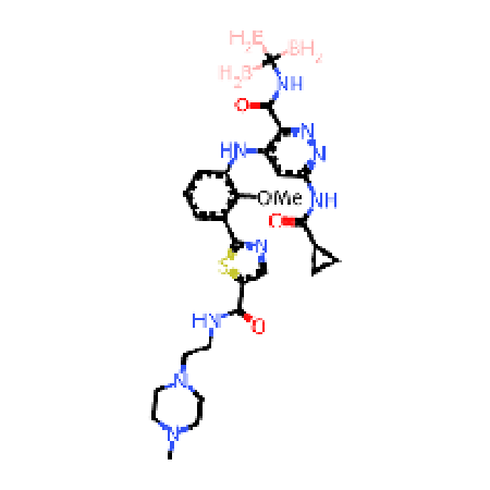 BC(B)(B)NC(=O)c1nnc(NC(=O)C2CC2)cc1Nc1cccc(-c2ncc(C(=O)NCCN3CCN(C)CC3)s2)c1OC